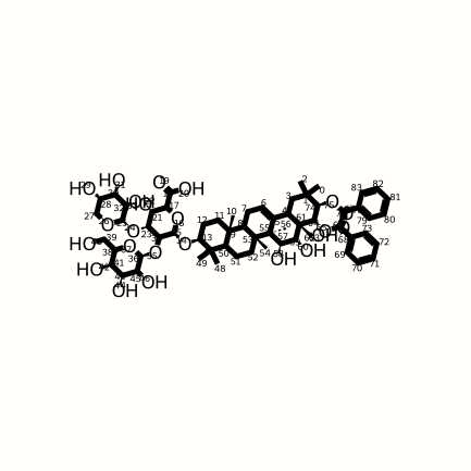 CC1(C)CC2C3=CCC4[C@@]5(C)CC[C@H](O[C@@H]6OC(C(=O)O)[C@@H](O)[C@@H](O[C@@H]7OC[C@@H](O)[C@@H](O)C7O)C6O[C@@H]6OC(CO)[C@H](O)[C@@H](O)C6O)C(C)(C)C5CC[C@@]4(C)[C@]3(C)[C@@H](O)[C@@H](O)[C@@]2(CO)[C@@H](OC(=O)c2ccccc2)[C@@H]1OC(=O)c1ccccc1